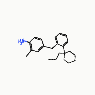 CCCC1(c2ccccc2Cc2ccc(N)c(C)c2)CCCCC1